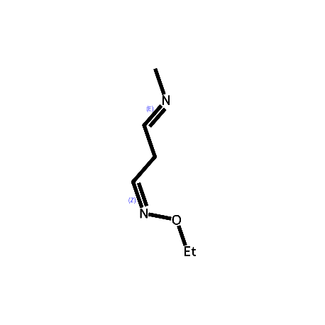 CCO/N=C\C/C=N/C